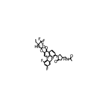 CC[C@H](NC(=O)Oc1cn(-c2c(F)cc(F)cc2F)c2nc(N3CC(CNC(C)=O)CC3=O)ccc2c1=O)C(F)(F)F